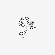 C[C@@H](COc1ccnc2c1[C@H](C)CCC2)C[C@H]1Cc2cc3c(cc2C12CCC(Nc1cccc(Cl)c1)(C(=O)O)CC2)O[C@H](CN(C)Cc1ccoc1)CCO3